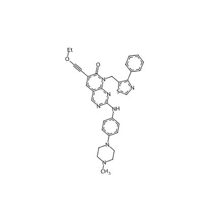 CCOC#Cc1cc2cnc(Nc3ccc(N4CCN(C)CC4)cc3)nc2n(Cc2scnc2-c2ccccc2)c1=O